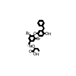 CCC(O/N=C\c1cc(Br)c(Oc2ccc(O)c(Cc3ccccc3)c2)c(Br)c1)C(=O)O